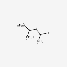 CCCCCC(CC(N)CC)C(=O)O